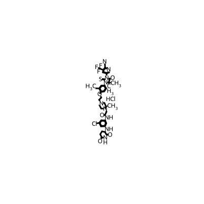 CCc1cc(N2C(=S)N(c3cnc(C#N)c(C(F)(F)F)c3)C(=O)C2(C)C)ccc1OCCN1CCN(CC(=O)Nc2cc(Cl)cc(NC3CCC(=O)NC3=O)c2)[C@H](C)C1.Cl